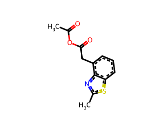 CC(=O)OC(=O)Cc1cccc2sc(C)nc12